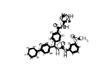 C[S+]([O-])c1cccc(NC(=O)NC(c2ccc(C(=O)Nc3nn[nH]n3)cc2)c2ccc(C3CCCCC3)cc2)c1